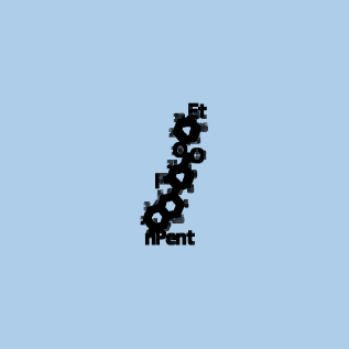 CCCCCC1CCC2CC(c3ccc(C(=O)Oc4ccc(CC)cc4)cc3F)CCC2C1